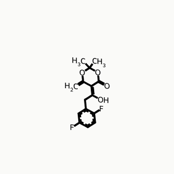 C=C1OC(C)(C)OC(=O)/C1=C(\O)Cc1cc(F)ccc1F